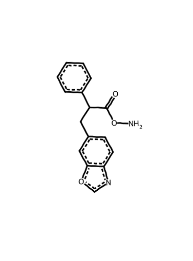 NOC(=O)C(Cc1ccc2ncoc2c1)c1ccccc1